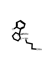 CN[C@]1(c2ccccc2Cl)CCCC[C@H]1NCCCOC